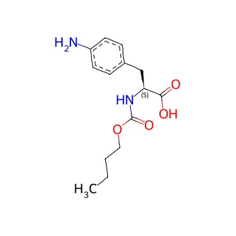 CCCCOC(=O)N[C@@H](Cc1ccc(N)cc1)C(=O)O